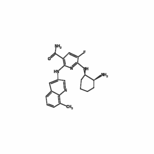 Cc1cccc2cc(Nc3nc(N[C@@H]4CCCC[C@@H]4N)c(F)cc3C(N)=O)cnc12